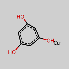 Oc1cc(O)cc(O)c1.[Cu]